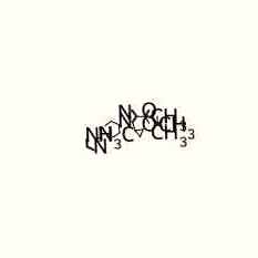 CC(C)(C)OC(=O)c1cnn(C2CCN(c3ncccn3)CC2)c1C1(C)CC1